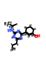 CC(C)CCc1nc(N[C@H](C)C(F)(F)F)nc(C2=C=C(O)CCC2)n1